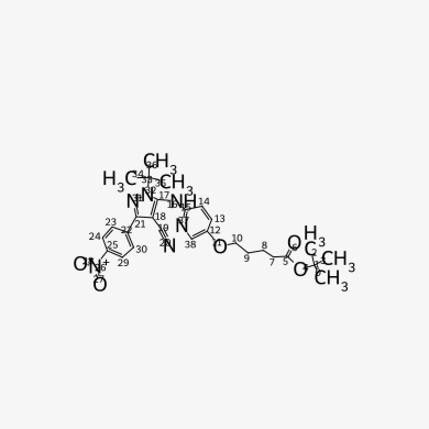 CC(C)(C)OC(=O)CCCCOc1ccc(Nc2c(C#N)c(-c3ccc([N+](=O)[O-])cc3)nn2C(C)(C)C)nc1